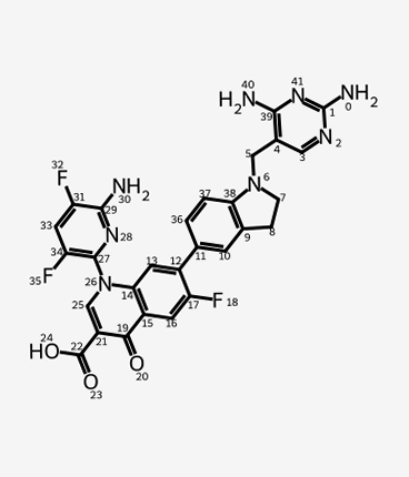 Nc1ncc(CN2CCc3cc(-c4cc5c(cc4F)c(=O)c(C(=O)O)cn5-c4nc(N)c(F)cc4F)ccc32)c(N)n1